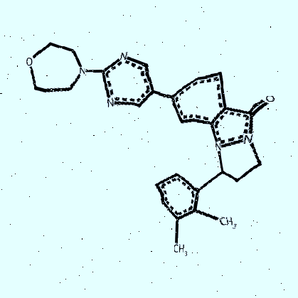 Cc1cccc(C2CCn3c(=O)c4ccc(-c5cnc(N6CCOCC6)nc5)cc4n32)c1C